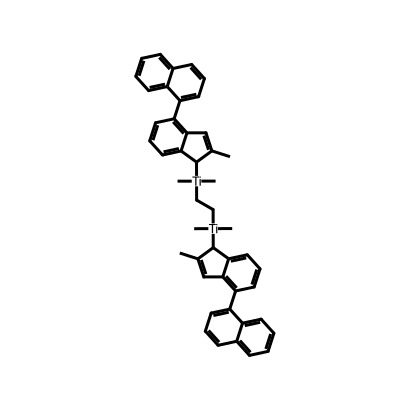 CC1=Cc2c(-c3cccc4ccccc34)cccc2[CH]1[Ti]([CH3])([CH3])[CH2][CH2][Ti]([CH3])([CH3])[CH]1C(C)=Cc2c(-c3cccc4ccccc34)cccc21